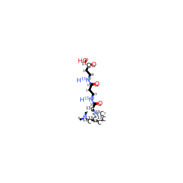 CN(C)[13CH2][13CH]1[13CH2][13CH2][13CH2]N1[13CH2]C(=O)[15NH]CCC(=O)[15NH]CC[13C](=O)O